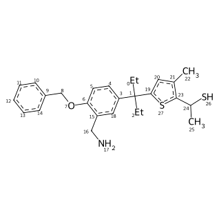 CCC(CC)(c1ccc(OCc2ccccc2)c(CN)c1)c1cc(C)c(C(C)S)s1